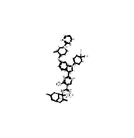 CC1CC2CC(C)C(NC(=O)c3cnc(-c4cn(C5CCC(F)(F)CC5)c5cc(OC6CCN(c7ncccn7)CC6C)ccc45)nc3C(F)(F)F)(C(=O)O)C(C1)C2